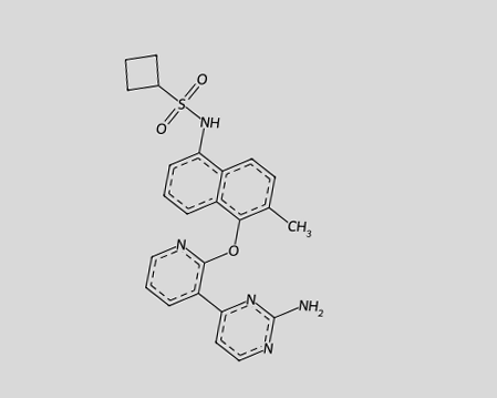 Cc1ccc2c(NS(=O)(=O)C3CCC3)cccc2c1Oc1ncccc1-c1ccnc(N)n1